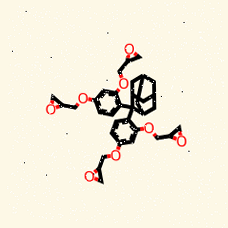 c1cc(C2(c3ccc(OCC4CO4)cc3OCC3CO3)C3CC4CC(C3)CC2C4)c(OCC2CO2)cc1OCC1CO1